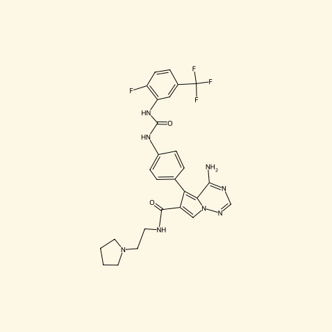 Nc1ncnn2cc(C(=O)NCCN3CCCC3)c(-c3ccc(NC(=O)Nc4cc(C(F)(F)F)ccc4F)cc3)c12